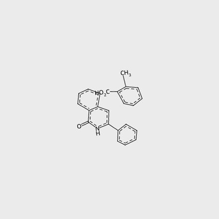 Cc1ccccc1C(=O)O.O=c1[nH]c(-c2ccccc2)cc2ccccc12